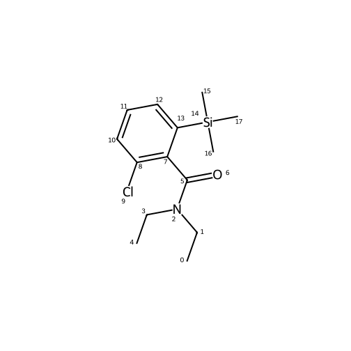 CCN(CC)C(=O)c1c(Cl)cccc1[Si](C)(C)C